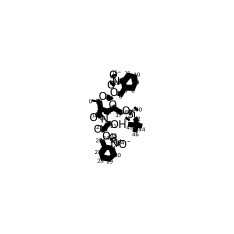 C[C@@H](OC(=O)OCc1ccccc1[N+](=O)[O-])C1C(=O)N(C(O)C(=O)OCc2ccccc2[N+](=O)[O-])C1CCO[Si](C)(C)CC(C)(C)C